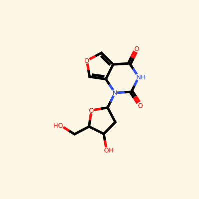 O=c1[nH]c(=O)n(C2CC(O)C(CO)O2)c2cocc12